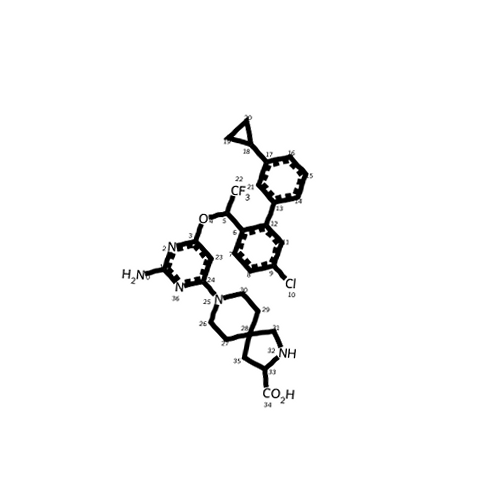 Nc1nc(OC(c2ccc(Cl)cc2-c2cccc(C3CC3)c2)C(F)(F)F)cc(N2CCC3(CC2)CNC(C(=O)O)C3)n1